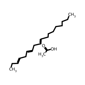 CC(=O)O.CCC=CCC=CCC=CCCCCCCCC